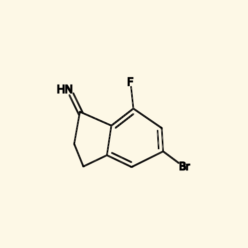 N=C1CCc2cc(Br)cc(F)c21